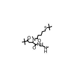 CNCCNC(=O)C(CC(=O)C(C)(C)C)N(C)C(=O)CCCCSC(C)(C)C